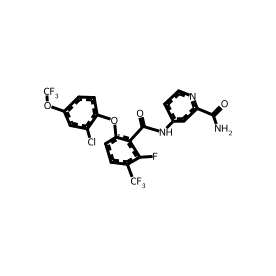 NC(=O)c1cc(NC(=O)c2c(Oc3ccc(OC(F)(F)F)cc3Cl)ccc(C(F)(F)F)c2F)ccn1